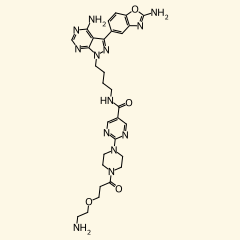 NCCOCCC(=O)N1CCN(c2ncc(C(=O)NCCCCn3nc(-c4ccc5oc(N)nc5c4)c4c(N)ncnc43)cn2)CC1